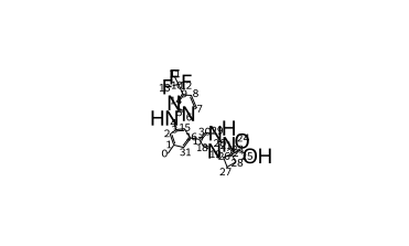 Cc1cc(Nc2nccc(C(F)(F)F)n2)cc(-c2cnc(NC3(C(=O)O)CCC3)nc2)c1